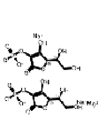 O=C1O[C@H]([C@@H](O)CO)C(O)=C1OP(=O)([O-])[O-].O=C1O[C@H]([C@@H](O)CO)C(O)=C1OP(=O)([O-])[O-].[Mg+2].[Na+].[Na+]